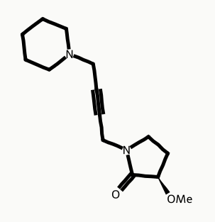 CO[C@@H]1CCN(CC#CCN2CCCCC2)C1=O